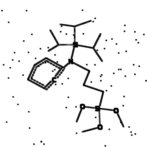 CO[Si](CCCN(c1ccccc1)[Si](C(C)C)(C(C)C)C(C)C)(OC)OC